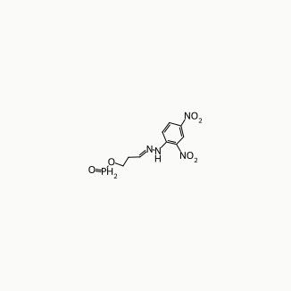 O=[PH2]OCCC=NNc1ccc([N+](=O)[O-])cc1[N+](=O)[O-]